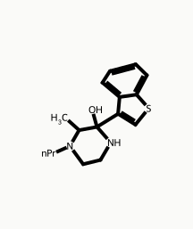 CCCN1CCNC(O)(c2csc3ccccc23)C1C